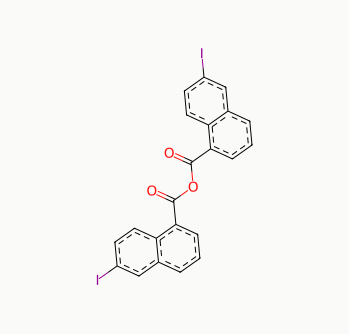 O=C(OC(=O)c1cccc2cc(I)ccc12)c1cccc2cc(I)ccc12